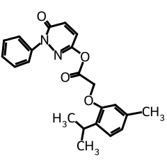 Cc1ccc(C(C)C)c(OCC(=O)Oc2ccc(=O)n(-c3ccccc3)n2)c1